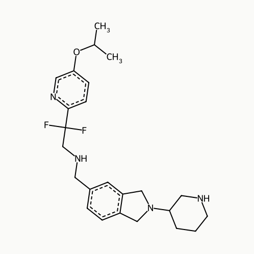 CC(C)Oc1ccc(C(F)(F)CNCc2ccc3c(c2)CN(C2CCCNC2)C3)nc1